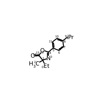 CCC1(C)N=C(c2ccc(C(C)C)cc2)OC1=O